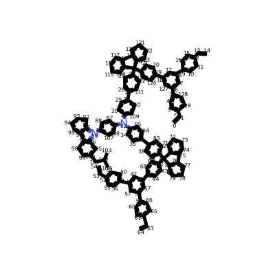 C=Cc1ccc(-c2cc(-c3ccc(C=C)cc3)cc(-c3ccc(C4(c5ccc(-c6ccc(N(c7ccc(-c8ccc(C9(c%10ccc(-c%11cc(-c%12ccc(C=C)cc%12)cc(-c%12ccc(C=C)cc%12)c%11)cc%10)c%10ccccc%10-c%10ccccc%109)cc8)cc7)c7ccc(-n8c9ccccc9c9ccc(CC(C)C)cc98)cc7)cc6)cc5)c5ccccc5-c5ccccc54)cc3)c2)cc1